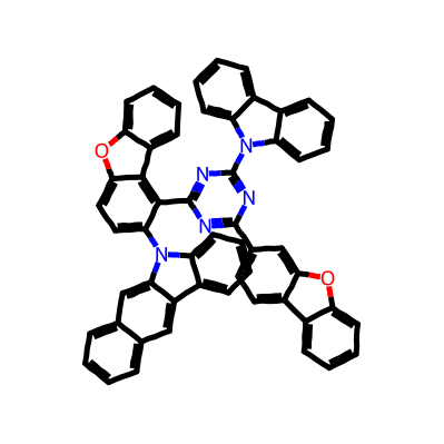 c1ccc2cc3c(cc2c1)c1ccccc1n3-c1ccc2oc3ccccc3c2c1-c1nc(-c2ccc3c(c2)oc2ccccc23)nc(-n2c3ccccc3c3ccccc32)n1